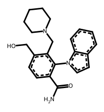 NC(=O)c1ccc(CO)c(CN2CCCCC2)c1-n1ccc2ccccc21